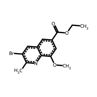 CCOC(=O)c1cc(OC)c2nc(C)c(Br)cc2c1